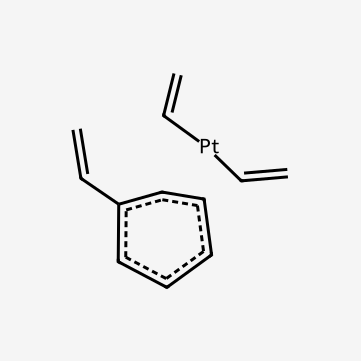 C=Cc1ccccc1.C=[CH][Pt][CH]=C